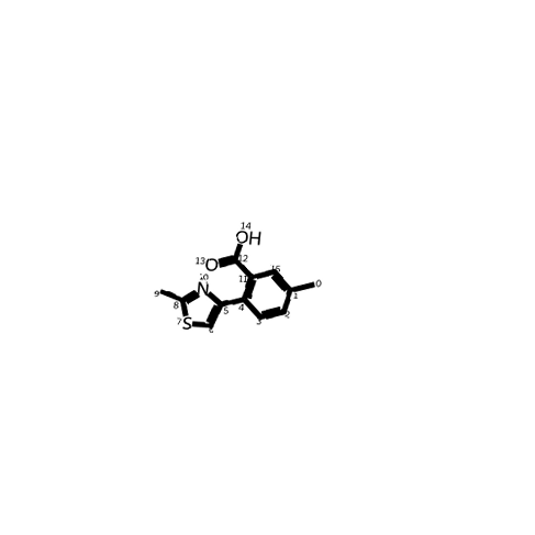 Cc1ccc(-c2csc(C)n2)c(C(=O)O)c1